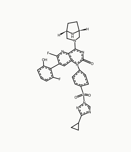 O=c1nc(N2C[C@H]3CC[C@@H](C2)N3)c2nc(F)c(-c3c(O)cccc3F)cc2n1-c1ccc(S(=O)(=O)n2cnc(C3CC3)n2)cc1